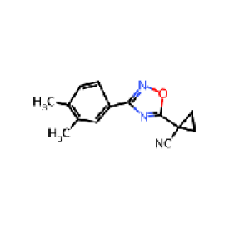 Cc1ccc(-c2noc(C3(C#N)CC3)n2)cc1C